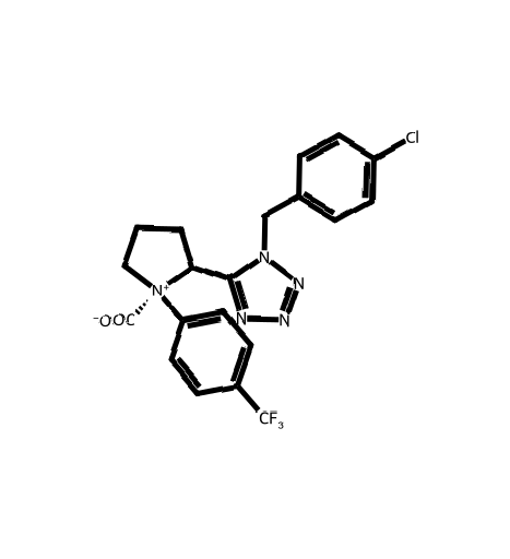 O=C([O-])[N@+]1(c2ccc(C(F)(F)F)cc2)CCCC1c1nnnn1Cc1ccc(Cl)cc1